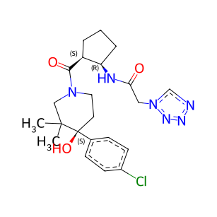 CC1(C)CN(C(=O)[C@H]2CCC[C@H]2NC(=O)Cn2cnnn2)CC[C@]1(O)c1ccc(Cl)cc1